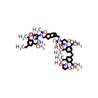 CCc1cc(C(C)C)c(N2C(=O)CC(N(CC3CC4C5CC(CN(C(C)=O)C6CC(=O)N(c7c(C(C)C)cc(Cc8cc(C(C)C)c(N9C(=O)C=CC9=O)c(C(C)C)c8)cc7C(C)C)C6=O)C(C5)C4C3)C(C)=O)C2=O)c(C(C)C)c1